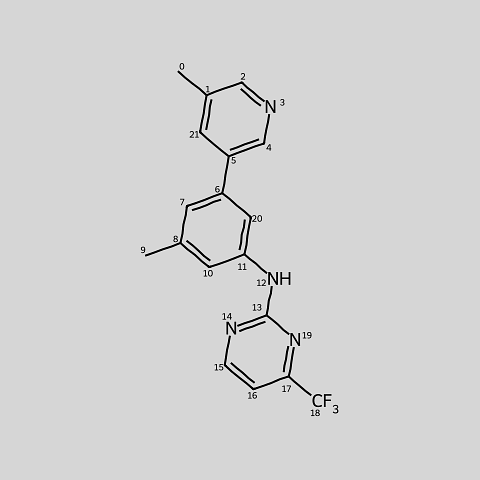 Cc1cncc(-c2cc(C)cc(Nc3nccc(C(F)(F)F)n3)c2)c1